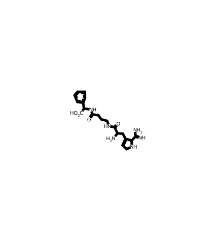 N=C(N)C1NCC=C1CC(N)C(=O)NCCCC(=O)NC(C(=O)O)c1ccccc1